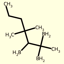 BC(C(B)(B)C)C(C)(C)CCC